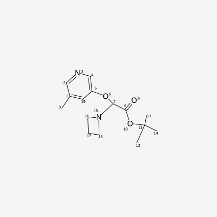 Cc1cncc(OC(C(=O)OC(C)(C)C)N2CCC2)c1